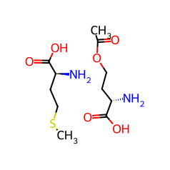 CC(=O)OCC[C@H](N)C(=O)O.CSCC[C@H](N)C(=O)O